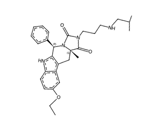 CCOc1ccc2[nH]c3c(c2c1)C[C@@]1(C)C(=O)N(CCCNCC(C)C)C(=O)N1[C@@H]3c1ccccc1